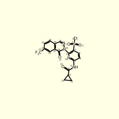 CCS(=O)(=O)c1ccc(NC(=O)C2CC2)nc1-n1ncc2ccc(C(F)(F)F)cc2c1=O